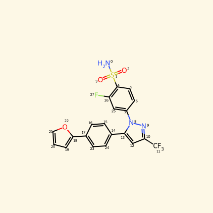 NS(=O)(=O)c1ccc(-n2nc(C(F)(F)F)cc2-c2ccc(-c3ccco3)cc2)cc1F